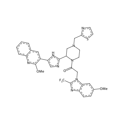 COc1ccc2nc(C(F)(F)F)n(CC(=O)N3CCN(Cc4nccs4)CC3c3ncc(-c4cc5ccccc5nc4OC)[nH]3)c2c1